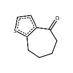 O=C1CCCCc2sccc21